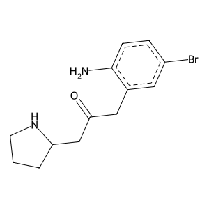 Nc1ccc(Br)cc1CC(=O)CC1CCCN1